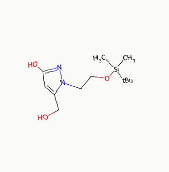 CC(C)(C)[Si](C)(C)OCCn1nc(O)cc1CO